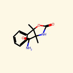 CC1(C(N)=O)NC(=O)OC1(C)c1ccccc1